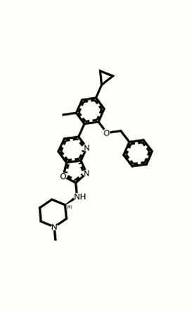 Cc1cc(C2CC2)cc(OCc2ccccc2)c1-c1ccc2oc(N[C@@H]3CCCN(C)C3)nc2n1